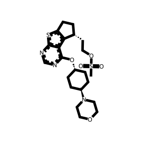 CS(=O)(=O)OCC[C@H]1CCc2sc3ncnc(O[C@H]4CC[C@H](N5CCOCC5)CC4)c3c21